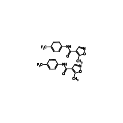 Cc1oncc1C(=O)Nc1ccc(C(F)(F)F)cc1.Cc1oncc1C(=O)Nc1ccc(C(F)(F)F)cc1